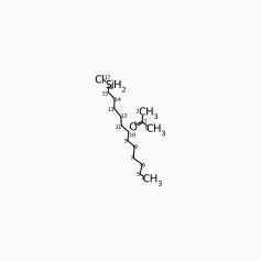 CC(C)=O.CCCCCCCCCCCC[SiH2]Cl